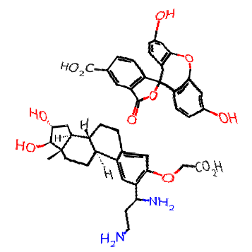 C[C@]12CC[C@@H]3c4cc(C(N)CCN)c(OCC(=O)O)cc4CC[C@H]3[C@@H]1C[C@@H](O)[C@@H]2O.O=C(O)c1ccc2c(c1)C(=O)OC21c2ccc(O)cc2Oc2cc(O)ccc21